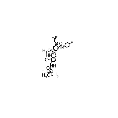 Cn1c(Nc2c(Cl)ccc(CNC(=O)OC(C)(C)C)c2Cl)nc2cc(C(=O)NC3CCC(F)CC3)c(OCC(F)F)cc21